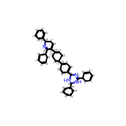 C1=CCC(C2=NC(C3=CC=C(C4CC=C(C5=CCC(c6ccccc6)N=C5C5C=CC=CC5)CC4)CC3)NC(c3ccccc3)N2)C=C1